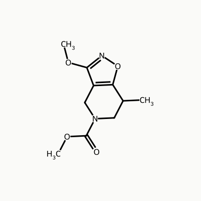 COC(=O)N1Cc2c(OC)noc2C(C)C1